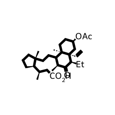 C=C[C@@]12C[C@H](OC(C)=O)CC[C@]1(C)C(CC[C@@]1(C)CCC[C@@H]1[C@H](C)CC(=O)O)[C@H](C)C(=O)[C@@H]2CC